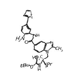 Cc1nc2cc(C(=O)Nc3cc(-c4cccs4)ccc3N)ccc2n1C[C@@](NC(=O)OC(C)(C)C)(C(=O)O)C(C)C